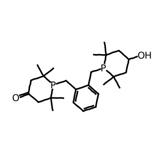 CC1(C)CC(=O)CC(C)(C)P1Cc1ccccc1CP1C(C)(C)CC(O)CC1(C)C